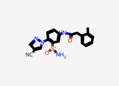 Cc1ccccc1CC(=O)Nc1ccc(-n2cc(C#N)cn2)c([S+](N)[O-])c1